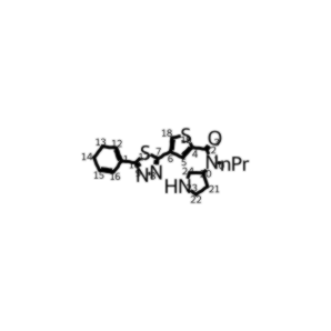 CCCN(C(=O)c1cc(-c2nnc(C3=CCCC=C3)s2)cs1)C1CCNC1